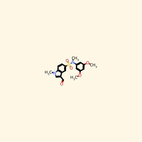 COc1cc(OC)cc(N(C)S(=O)(=O)c2ccc3c(c2)c(C=O)cn3C)c1